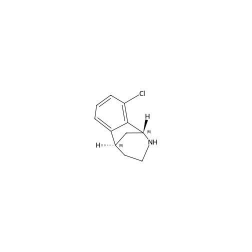 Clc1cccc2c1[C@H]1C[C@H]2CCN1